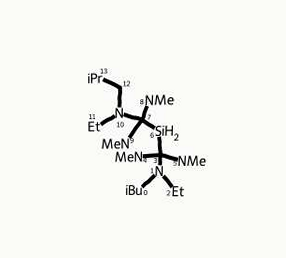 CCC(C)N(CC)C(NC)(NC)[SiH2]C(NC)(NC)N(CC)CC(C)C